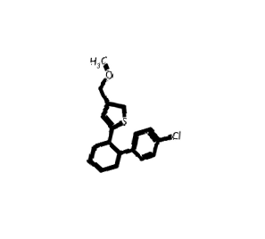 COCC1C=C(C2CCCCC2c2ccc(Cl)cc2)SC1